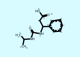 CC(C)NC(=O)NC(CC(=O)O)c1ccccc1